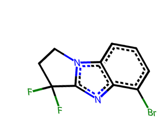 FC1(F)CCn2c1nc1c(Br)cccc12